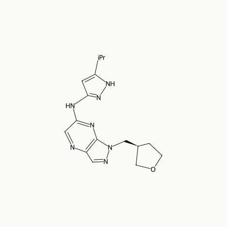 CC(C)c1cc(Nc2cnc3cnn(C[C@H]4CCOC4)c3n2)n[nH]1